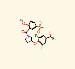 CCC(=O)c1cc(F)c(OC2CCN(C(=O)c3cc(S(C)(=O)=O)ccc3OC(C)C)C2)c(F)c1